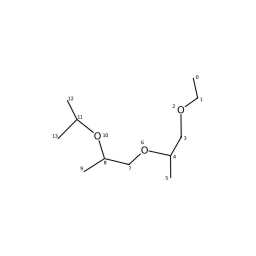 CCOCC(C)OCC(C)OC(C)C